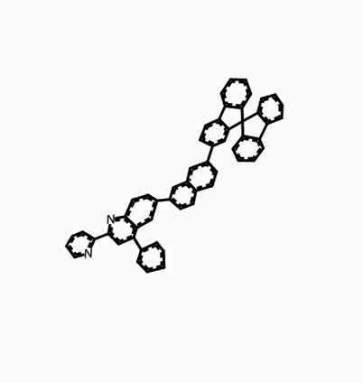 c1ccc(-c2cc(-c3ccccn3)nc3ccc(-c4ccc5ccc(-c6ccc7c(c6)C6(c8ccccc8-c8ccccc86)c6ccccc6-7)cc5c4)cc23)cc1